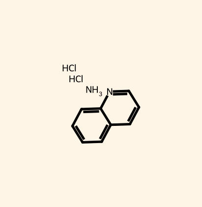 Cl.Cl.N.c1ccc2ncccc2c1